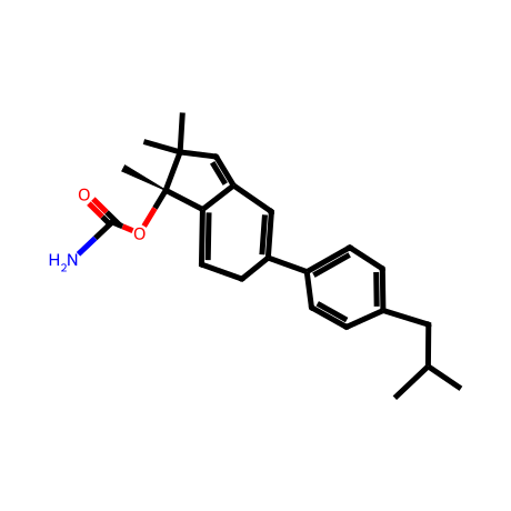 CC(C)Cc1ccc(C2=CC3=CC(C)(C)[C@@](C)(OC(N)=O)C3=CC2)cc1